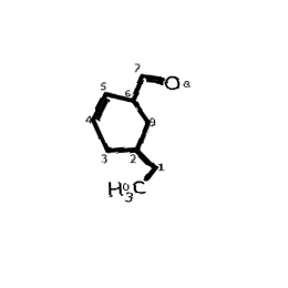 CCC1CC=CC(C=O)C1